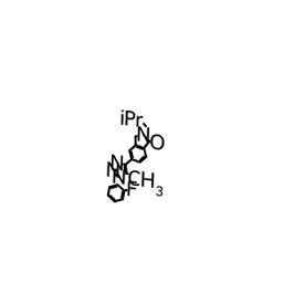 Cc1c(-c2ccc3c(c2)CN(CC(C)C)C3=O)nnn1-c1ccccc1F